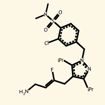 CC(C)c1nn(Cc2ccc(S(=O)(=O)N(C)C)c(Cl)c2)c(C(C)C)c1C/C(F)=C/CN